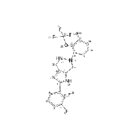 Fc1cccc(-c2nc3c([nH]2)CN(c2cccc(F)c2OC(F)(F)F)NC3)c1F